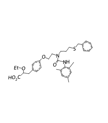 CCOC(Cc1ccc(OCCN(CCCSCc2ccccc2)C(=O)Nc2c(C)cc(C)cc2C)cc1)C(=O)O